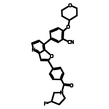 N#Cc1cc(-c2ccnc3cc(-c4ccc(C(=O)N5CC[C@@H](F)C5)cc4)oc23)ccc1OC1CCOCC1